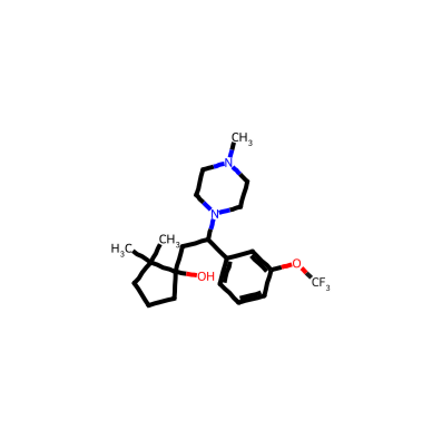 CN1CCN(C(CC2(O)CCCC2(C)C)c2cccc(OC(F)(F)F)c2)CC1